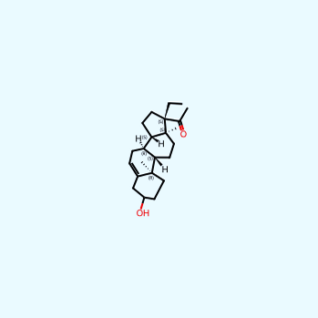 CC[C@]1(C(C)=O)CC[C@H]2[C@@H]3CC=C4CC(O)CC[C@]4(C)[C@H]3CC[C@@]21C